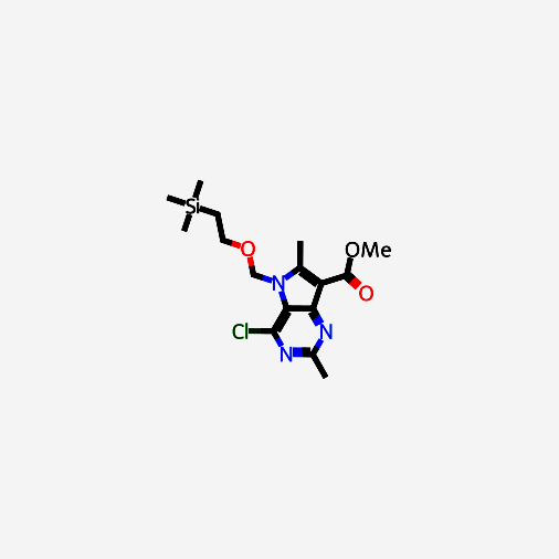 COC(=O)c1c(C)n(COCC[Si](C)(C)C)c2c(Cl)nc(C)nc12